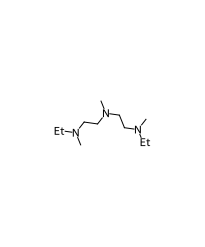 [CH2]CN(C)CCN(C)CCN(C)CC